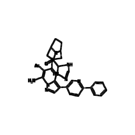 CC(=O)c1c(N2CC3CCC(C2)N3C(=O)C2NC=NN2)nc2c(-c3ccc(-c4ccccc4)nc3)cnn2c1N